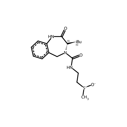 CC[C@H](C)[C@H]1C(=O)Nc2ccccc2CN1C(=O)NCC[S+](C)[O-]